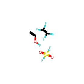 C=COF.FC(F)=C(F)F.O=S(=O)(F)F